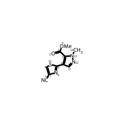 COC(=O)c1c(-c2nc(C#N)cs2)cnn1C